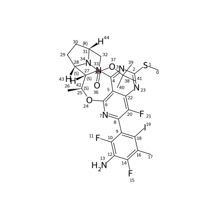 CSc1nc2c3c(nc(-c4c(F)c(N)c(F)c(C)c4I)c(F)c3n1)O[C@@H](C)[C@@H]1[C@@H]3CC[C@H](CN21)N3C(=O)OC(C)(C)C